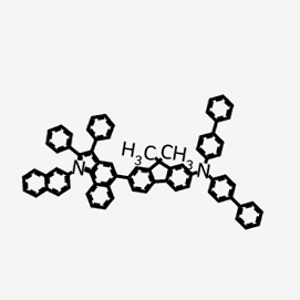 CC1(C)c2cc(-c3cc4c(-c5ccccc5)c(-c5ccccc5)n(-c5ccc6ccccc6c5)c4c4ccccc34)ccc2-c2ccc(N(c3ccc(-c4ccccc4)cc3)c3ccc(-c4ccccc4)cc3)cc21